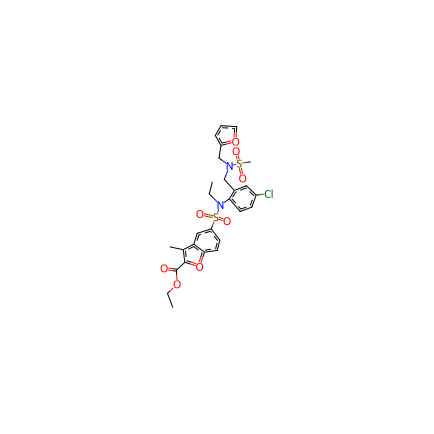 CCOC(=O)c1oc2ccc(S(=O)(=O)N(CC)c3ccc(Cl)cc3CN(Cc3ccco3)S(C)(=O)=O)cc2c1C